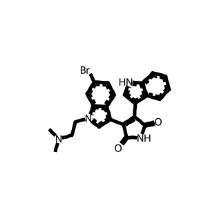 CN(C)CCn1cc(C2=C(c3c[nH]c4ccccc34)C(=O)NC2=O)c2ccc(Br)cc21